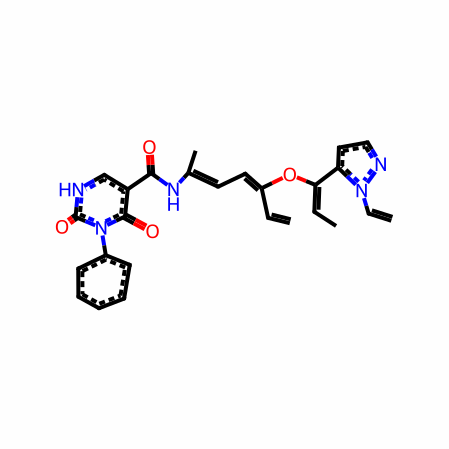 C=C/C(=C\C=C(/C)NC(=O)c1c[nH]c(=O)n(-c2ccccc2)c1=O)O/C(=C/C)c1ccnn1C=C